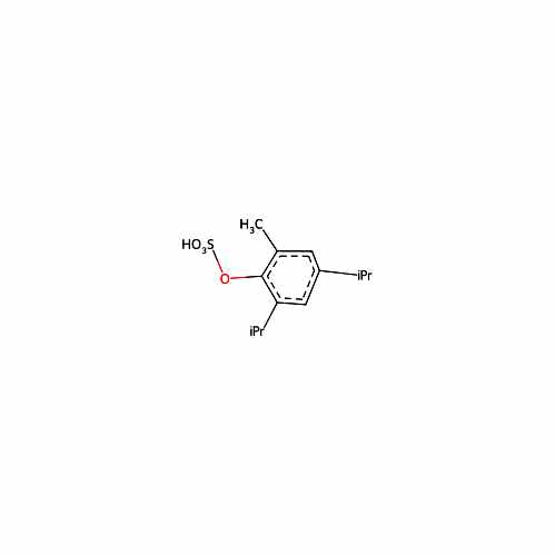 Cc1cc(C(C)C)cc(C(C)C)c1OS(=O)(=O)O